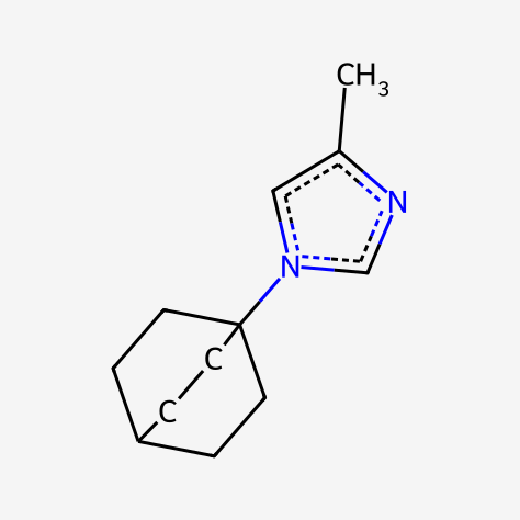 Cc1cn(C23CCC(CC2)CC3)cn1